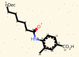 CCCCCCCCCCCCCCCC(=O)Nc1ccc(C(=O)O)cc1C